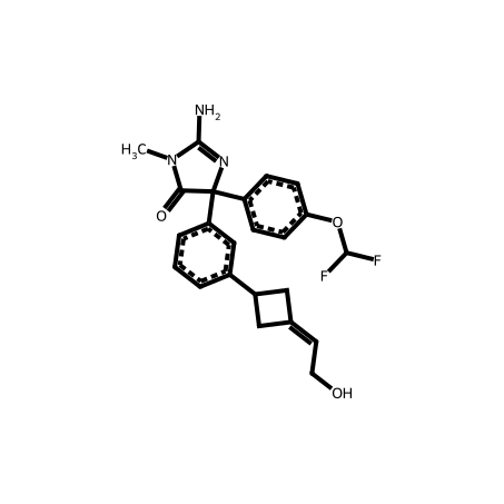 CN1C(=O)C(c2ccc(OC(F)F)cc2)(c2cccc(C3CC(=CCO)C3)c2)N=C1N